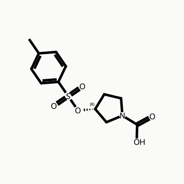 Cc1ccc(S(=O)(=O)O[C@@H]2CCN(C(=O)O)C2)cc1